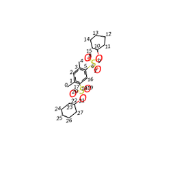 Cc1cc(C)c(S(=O)(=O)OC2CCCCC2)cc1S(=O)(=O)OC1CCCCC1